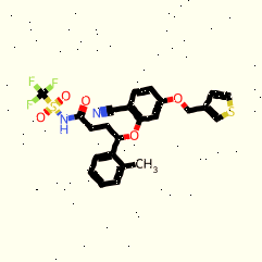 Cc1ccccc1C(CCC(=O)NS(=O)(=O)C(F)(F)F)Oc1cc(OCc2ccsc2)ccc1C#N